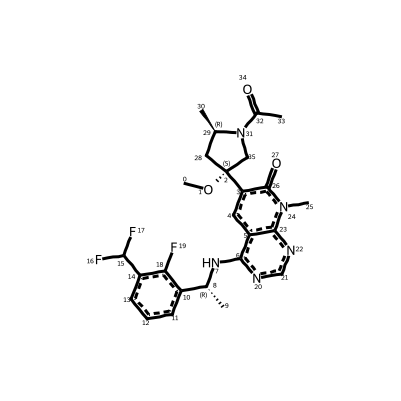 CO[C@]1(c2cc3c(N[C@H](C)c4cccc(C(F)F)c4F)ncnc3n(C)c2=O)C[C@@H](C)N(C(C)=O)C1